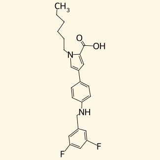 CCCCCCn1cc(-c2ccc(NCc3cc(F)cc(F)c3)cc2)cc1C(=O)O